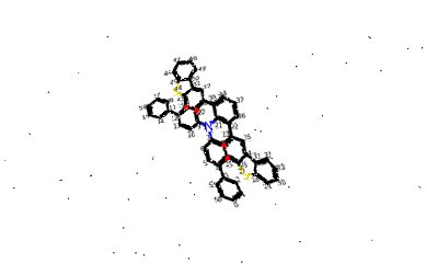 c1ccc(-c2ccc(N(c3ccc(-c4ccccc4)cc3)c3c(-c4ccc5sc6ccccc6c5c4)cccc3-c3ccc4sc5ccccc5c4c3)cc2)cc1